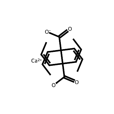 C/C=C\C(/C=C\C)(C(=O)[O-])C(/C=C\C)(/C=C\C)C(=O)[O-].[Ca+2]